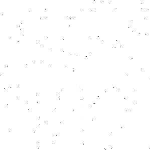 c1ccc(-c2ccc(N(c3cc(-n4c5ccccc5c5ccccc54)cc4c3sc3ccccc34)c3cccc4sc5ccccc5c34)cc2)cc1